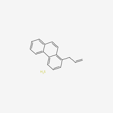 C=CCc1cccc2c1ccc1ccccc12.S